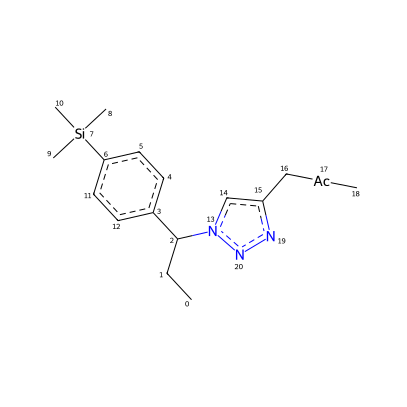 CCC(c1ccc([Si](C)(C)C)cc1)n1cc([CH2][Ac][CH3])nn1